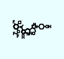 C[C@H](c1c(OC(F)F)ccc(F)c1Cl)c1c[nH]c2ncc(-c3cnn(C4CCC(O)CC4)c3CO)cc12